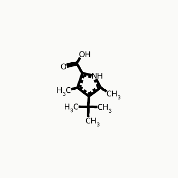 Cc1[nH]c(C(=O)O)c(C)c1C(C)(C)C